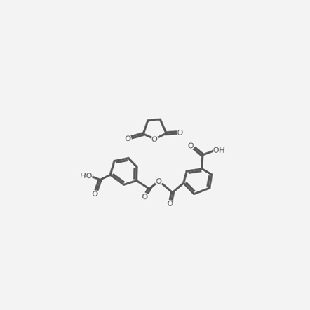 O=C(O)c1cccc(C(=O)OC(=O)c2cccc(C(=O)O)c2)c1.O=C1CCC(=O)O1